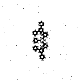 c1ccc(-c2cc(-c3ccccc3)c3sc4c(-c5nc(-c6ccccc6)nc(-c6cccc7c6sc6c(-c8ccccc8)cc(-c8ccccc8)cc67)n5)cccc4c3c2)cc1